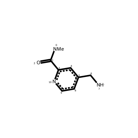 CNC(=O)c1cc(C[NH])ccn1